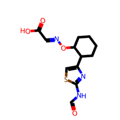 O=CNc1nc(C2CCCCC2ON=CC(=O)O)cs1